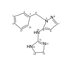 c1ccc(Cn2nccc2NC2=NCCN2)cc1